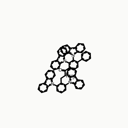 N[C@@H](Cc1c(-n2c3ccccc3c3ccccc32)cccc1-n1c2ccccc2c2ccccc21)C(=O)c1ccc(-c2ccccc2)c(-n2c3ccccc3c3ccccc32)c1-n1c2ccccc2c2ccccc21